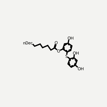 CCCCCCCCCCCCCCCC(=O)Oc1cc(O)ccc1Sc1ccc(O)cc1O